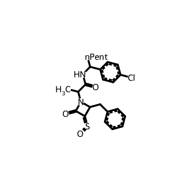 CCCCCC(NC(=O)C(C)N1C(=O)C(=S=O)C1Cc1ccccc1)c1ccc(Cl)cc1